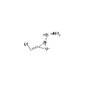 CCC=C1NN1NN